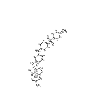 CC(=O)O[C@H]1CO[C@@H]2C(Oc3ccnc(NC4CCN(S(=O)(=O)c5ccc(C)cc5)CC4)n3)CO[C@H]12